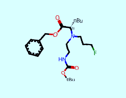 CCCC[C@@H](C(=O)OCc1ccccc1)N(CCCF)CCNC(=O)OC(C)(C)C